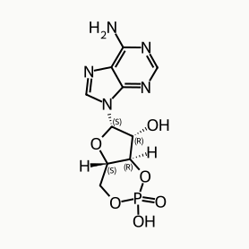 Nc1ncnc2c1ncn2[C@H]1O[C@H]2COP(=O)(O)O[C@@H]2[C@H]1O